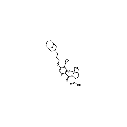 CC1(C)CCC(C(=O)O)N1C(=O)c1cc(C2CC2)c(OCCCC2CC3CCCC(C2)C3)cc1F